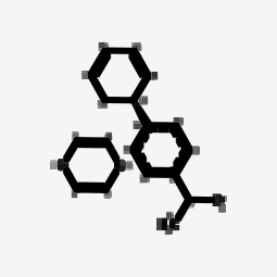 C1=COC=CO1.CC(Br)c1ccc([C@@H]2C=CC=CC2)cc1